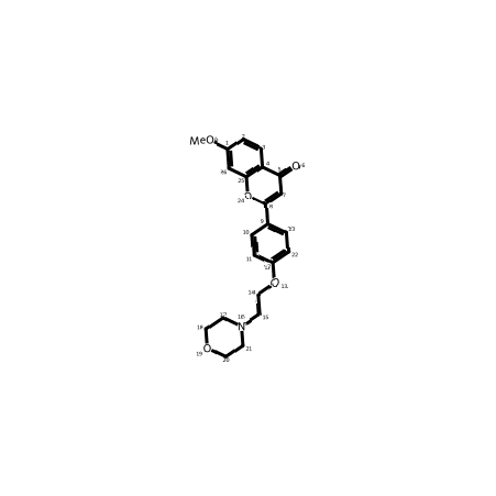 COc1ccc2c(=O)cc(-c3ccc(OCCN4CCOCC4)cc3)oc2c1